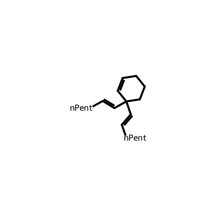 CCCCCC=CC1(C=CCCCCC)C=CCCC1